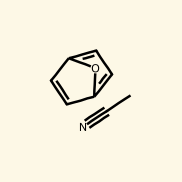 CC#N.c1cc2ccc1o2